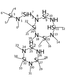 CN([SiH3])[Si](C)(C)C.CN1[SiH2]N[SiH](C)N(C)[Si](C)(C)N(C)[Si]1(C)C.CN1[SiH2]N[Si](C)(C)N(C)[Si]1(C)C